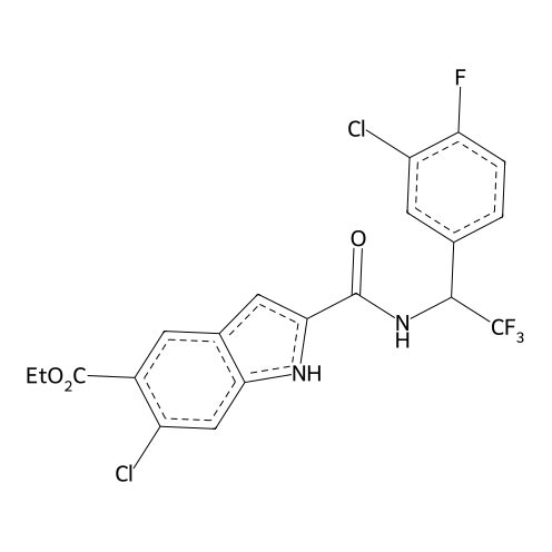 CCOC(=O)c1cc2cc(C(=O)NC(c3ccc(F)c(Cl)c3)C(F)(F)F)[nH]c2cc1Cl